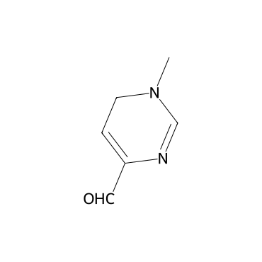 CN1C=NC(C=O)=CC1